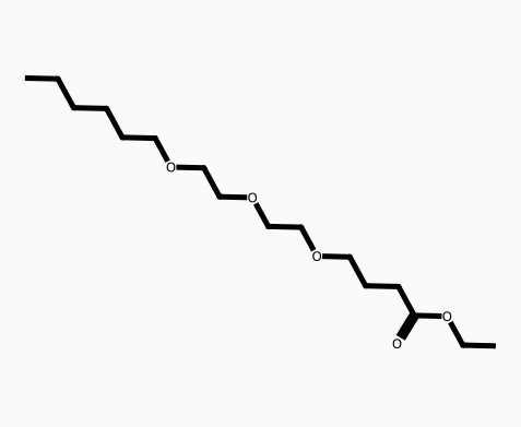 CCCCCCOCCOCCOCCCC(=O)OCC